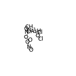 COc1nc([AsH]CCc2ccc(Cl)cc2Cl)cc(-c2cccc(C(=O)OCCN3CCOCC3)c2)n1